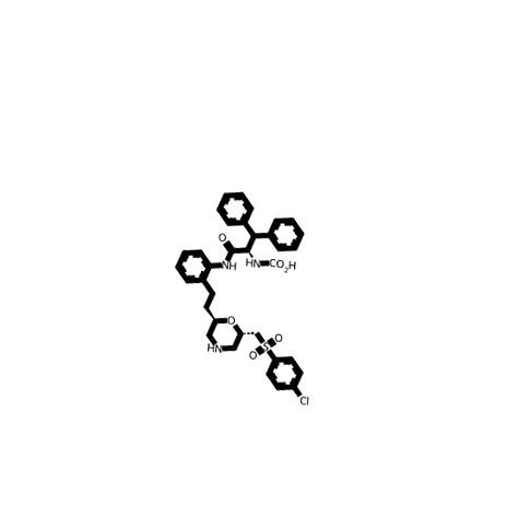 O=C(O)N[C@H](C(=O)Nc1ccccc1CC[C@@H]1CNC[C@@H](CS(=O)(=O)c2ccc(Cl)cc2)O1)C(c1ccccc1)c1ccccc1